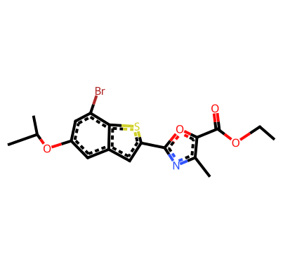 CCOC(=O)c1oc(-c2cc3cc(OC(C)C)cc(Br)c3s2)nc1C